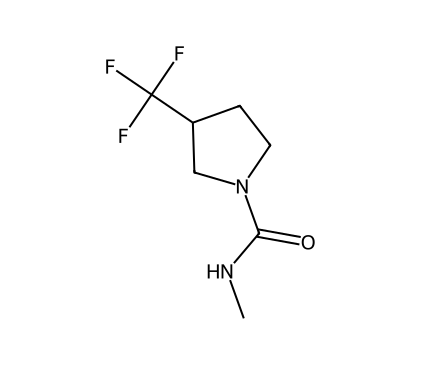 CNC(=O)N1CCC(C(F)(F)F)C1